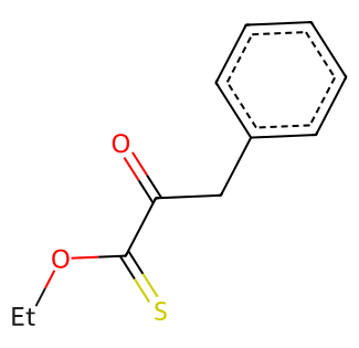 CCOC(=S)C(=O)Cc1ccccc1